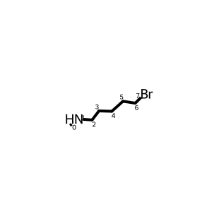 CNCCCCCBr